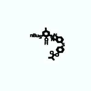 C=C(C)C(=O)Oc1ccc(Sc2ccc3nn(-c4cc(C)cc(SCCCC)c4O)nc3c2)cc1